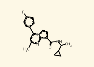 Cc1cc(-c2ccc(F)cc2)n2ccc(C(=O)NC(C)C3CC3)c2n1